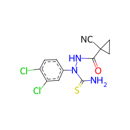 N#CC1(C(=O)NN(C(N)=S)c2ccc(Cl)c(Cl)c2)CC1